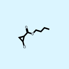 CCCCOC(=O)C1CC1Cl